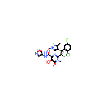 Cc1nn(C)cc1[C@@H](c1cc(F)ccc1Cl)[C@@H](C)c1nc(C(=O)Nc2cnoc2)c(O)c(=O)n1C